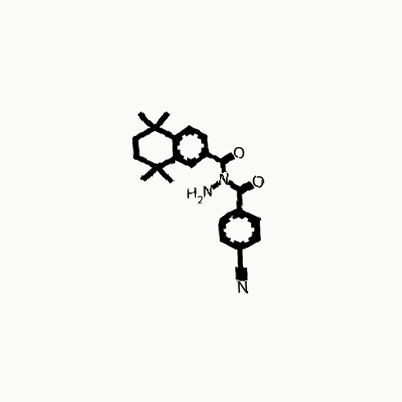 CC1(C)CCC(C)(C)c2cc(C(=O)N(N)C(=O)c3ccc(C#N)cc3)ccc21